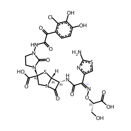 Nc1nc(/C(=N/O[C@@H](CO)C(=O)O)C(=O)N[C@@H]2C(=O)N3C[C@@](C(=O)O)(N4CCN(NC(=O)C(=O)c5ccc(O)c(O)c5Cl)C4=O)S[C@H]23)cs1